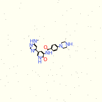 CNc1cc(-c2c[nH]c(=O)c(NC(=O)c3ccc(N4C[C@@H](C)N[C@@H](C)C4)cc3)c2)ncn1